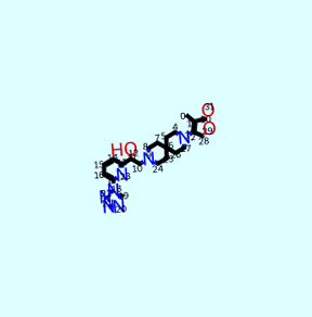 CC1=C(N2CCC3(CCN(C[C@H](O)c4cccc(-n5cnnn5)n4)CC3)CC2)COC1=O